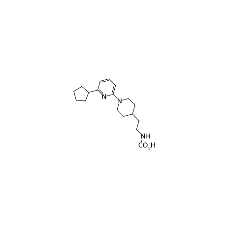 O=C(O)NCCC1CCN(c2cccc(C3CCCC3)n2)CC1